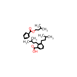 CC(C)CCOC(=O)c1ccccc1.CC(C)CCc1cccc(C(=O)O)c1CCC(C)C